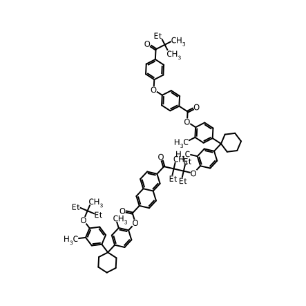 CCC(C)(CC)Oc1ccc(C2(c3ccc(OC(=O)c4ccc5cc(C(=O)C(C)(CC)C(CC)(CC)Oc6ccc(C7(c8ccc(OC(=O)c9ccc(Oc%10ccc(C(=O)C(C)(C)CC)cc%10)cc9)c(C)c8)CCCCC7)cc6C)ccc5c4)c(C)c3)CCCCC2)cc1C